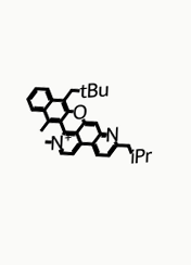 Cc1c2c(c(CC(C)(C)C)c3ccccc13)Oc1cc3nc(CC(C)C)ccc3c3cc[n+](C)c-2c13